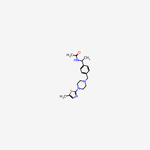 CC(=O)NC(C)c1ccc(CN2CCN(c3ncc(C)s3)CC2)cc1